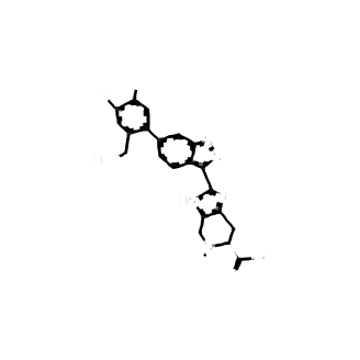 CCc1cc(O)c(F)cc1-c1ccc2c(-c3nc4c([nH]3)CN(C)[C@H](C(=O)O)C4)n[nH]c2c1